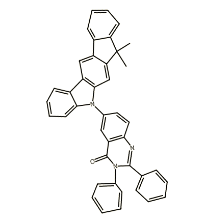 CC1(C)c2ccccc2-c2cc3c4ccccc4n(-c4ccc5nc(-c6ccccc6)n(-c6ccccc6)c(=O)c5c4)c3cc21